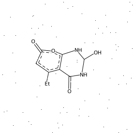 CCc1cc(=O)oc2c1C(=O)NC(O)N2